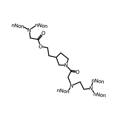 CCCCCCCCCN(CCCCCCCCC)CCN(CCCCCCCCC)CC(=O)N1CCC(CCOC(=O)CN(CCCCCCCCC)CCCCCCCCC)C1